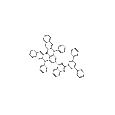 c1ccc(-c2cc(-c3ccccc3)cc(-c3nc(-c4cc5c6c(c4)N(c4ccccc4)c4cc7ccccc7cc4B6c4cc6ccccc6cc4N5c4ccccc4)c4ccccc4n3)c2)cc1